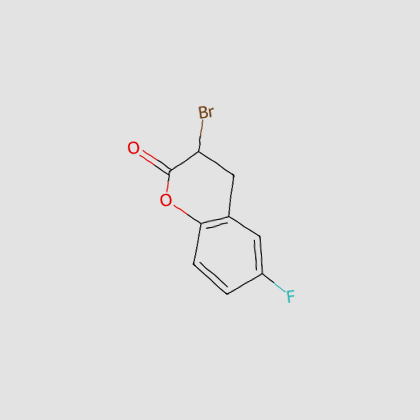 O=C1Oc2ccc(F)cc2CC1Br